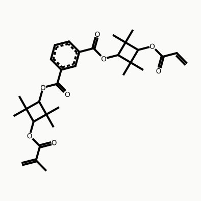 C=CC(=O)OC1C(C)(C)C(OC(=O)c2cccc(C(=O)OC3C(C)(C)C(OC(=O)C(=C)C)C3(C)C)c2)C1(C)C